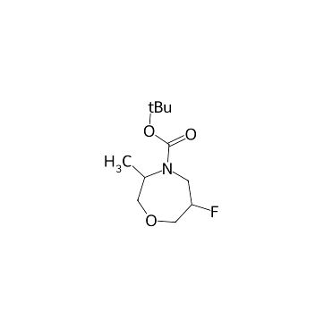 CC1COCC(F)CN1C(=O)OC(C)(C)C